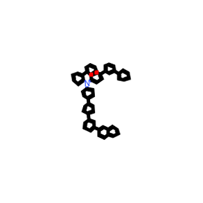 c1ccc(-c2cccc(-c3ccc(N(c4ccc(-c5ccc(-c6cccc(-c7ccc8ccccc8c7)c6)cc5)cc4)c4ccccc4-c4ccccc4)cc3)c2)cc1